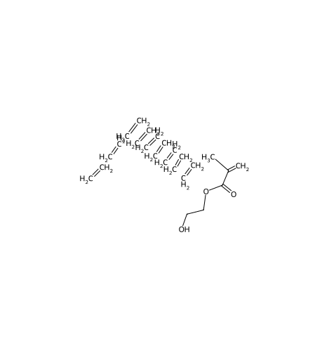 C=C.C=C.C=C.C=C.C=C.C=C.C=C.C=C.C=C.C=C(C)C(=O)OCCO